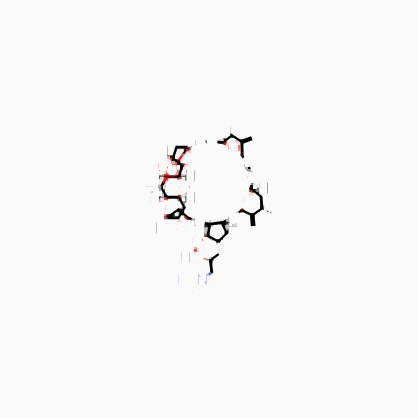 C=C1C[C@@H]2CC[C@@]34C[C@H]5O[C@H]6[C@@H](O3)[C@H]3O[C@H](CC[C@@H]3O[C@H]6[C@H]5O4)CC(=O)C[C@H]3[C@H](CC4O[C@@H](CCC1O2)C[C@@H](C)C4=C)C[C@H](C[C@H](O)CN)[C@@H]3OC